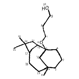 CC12CCCC(OCCCO)(C1)C1CC(C)(C)C1CC2